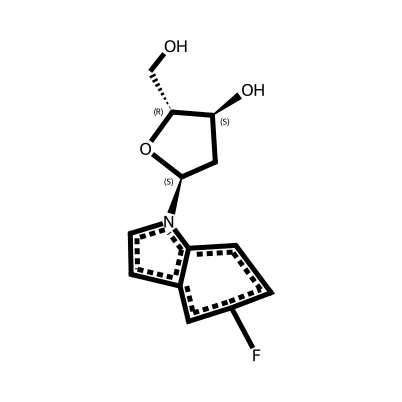 OC[C@H]1O[C@H](n2ccc3cc(F)ccc32)C[C@@H]1O